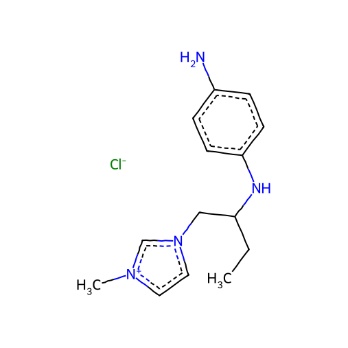 CCC(Cn1cc[n+](C)c1)Nc1ccc(N)cc1.[Cl-]